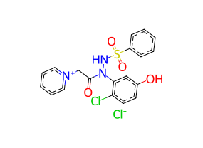 O=C(C[n+]1ccccc1)N(NS(=O)(=O)c1ccccc1)c1cc(O)ccc1Cl.[Cl-]